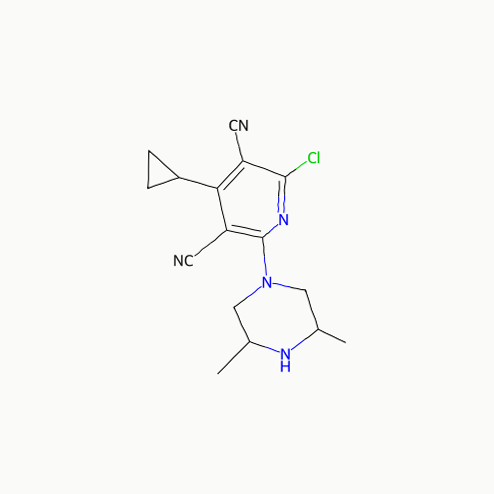 CC1CN(c2nc(Cl)c(C#N)c(C3CC3)c2C#N)CC(C)N1